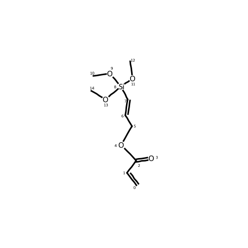 C=CC(=O)OCC=C[Si](OC)(OC)OC